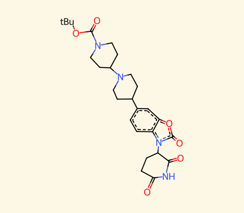 CC(C)(C)OC(=O)N1CCC(N2CCC(c3ccc4c(c3)oc(=O)n4C3CCC(=O)NC3=O)CC2)CC1